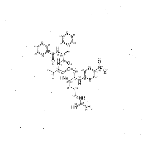 CC(C)[C@H](NC(=O)[C@H](Cc1ccccc1)NC(=O)c1ccccc1)C(=O)N[C@@H](CCCNC(=N)N)C(=O)Nc1ccc([N+](=O)[O-])cc1